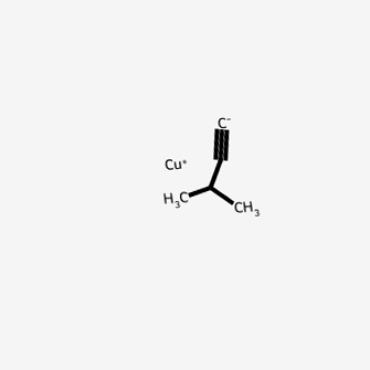 [C-]#CC(C)C.[Cu+]